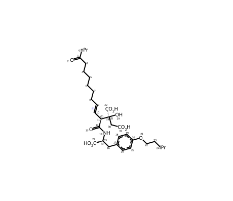 CCCC(=O)CCCCCC/C=C/[C@H](C(=O)N[C@@H](Cc1ccc(OCCC(C)C)cc1)C(=O)O)[C@@](O)(CC(=O)O)C(=O)O